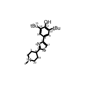 CN1CCC(c2nc(-c3cc(C(C)(C)C)c(O)c(C(C)(C)C)c3)cs2)CC1